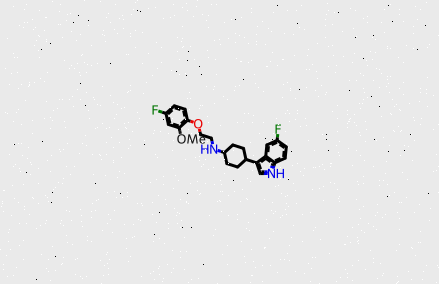 COc1cc(F)ccc1OCCNC1CCC(c2c[nH]c3ccc(F)cc23)CC1